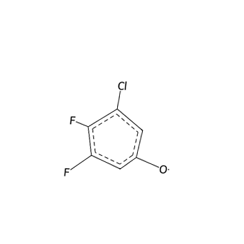 [O]c1cc(F)c(F)c(Cl)c1